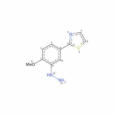 COc1ccc(-c2nccs2)cc1NN